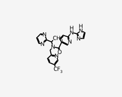 CC(c1ncccn1)N(Cc1ccc(C(F)(F)F)cn1)C(=O)c1ccc(Nc2ncc[nH]2)nc1